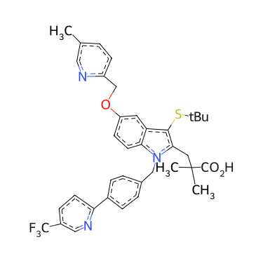 Cc1ccc(COc2ccc3c(c2)c(SC(C)(C)C)c(CC(C)(C)C(=O)O)n3Cc2ccc(-c3ccc(C(F)(F)F)cn3)cc2)nc1